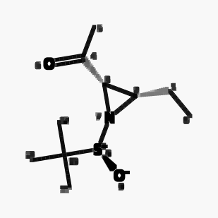 CC[C@H]1[C@@H](C(C)=O)N1[S@@+]([O-])C(C)(C)C